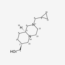 OC[C@H]1CC[C@H]2CN(CC3CC3)CCN2C1